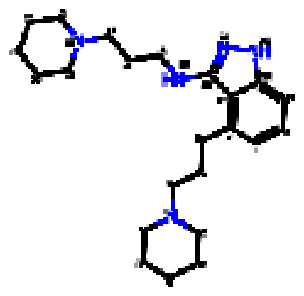 c1cc(CCCN2CCCCC2)c2c(NCCCN3CCCCC3)n[nH]c2c1